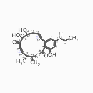 CCNc1cc(O)c2c(c1)/C=C/C[C@H](O)[C@H](O)C(=O)/C=C\[C@@H](C)[C@H](C)OC2=O